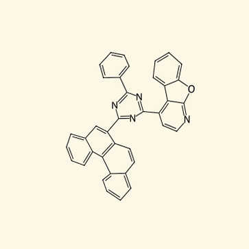 c1ccc(-c2nc(-c3cc4ccccc4c4c3ccc3ccccc34)nc(-c3ccnc4oc5ccccc5c34)n2)cc1